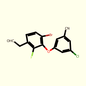 N#Cc1cc(Cl)cc(Oc2c(Br)ccc(CC=O)c2F)c1